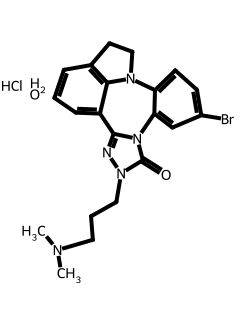 CN(C)CCCn1nc2n(c1=O)-c1cc(Br)ccc1N1CCc3cccc-2c31.Cl.O